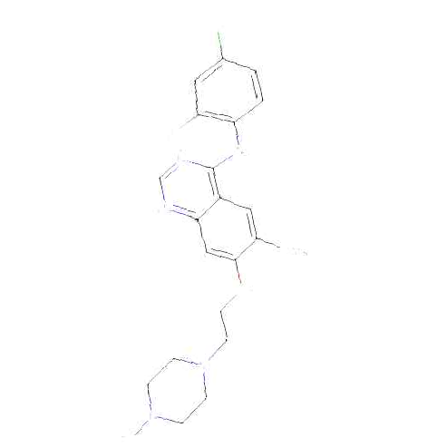 COc1cc2c(Nc3ccc(Cl)cc3F)ncnc2cc1OCCN1CCN(C(C)=O)CC1.Cl